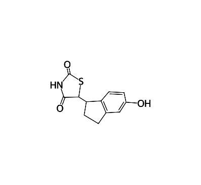 O=C1NC(=O)C(C2CCc3cc(O)ccc32)S1